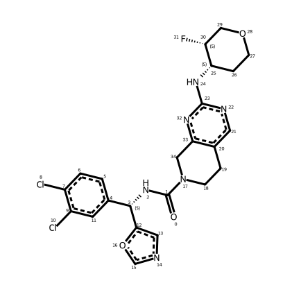 O=C(N[C@@H](c1ccc(Cl)c(Cl)c1)c1cnco1)N1CCc2cnc(N[C@H]3CCOC[C@H]3F)nc2C1